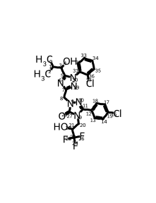 CC(C)C(O)c1nc(Cn2nc(-c3ccc(Cl)cc3)n(CC(O)C(F)(F)F)c2=O)nn1-c1ccccc1Cl